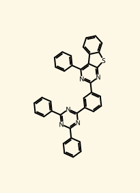 c1ccc(-c2nc(-c3ccccc3)nc(-c3cccc(-c4nc(-c5ccccc5)c5c(n4)sc4ccccc45)c3)n2)cc1